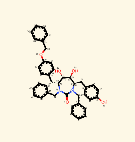 O=C1N(Cc2ccccc2)[C@H](Cc2ccc(O)cc2)[C@H](O)[C@@H](O)[C@@H](Cc2ccc(OCc3ccccc3)cc2)N1Cc1ccccc1